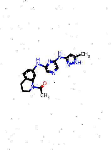 CC(=O)N1CCCc2ccc(Nc3cncc(Nc4cc(C)[nH]n4)n3)cc21